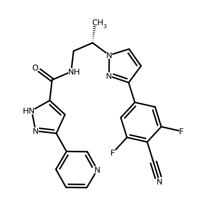 C[C@@H](CNC(=O)c1cc(-c2cccnc2)n[nH]1)n1ccc(-c2cc(F)c(C#N)c(F)c2)n1